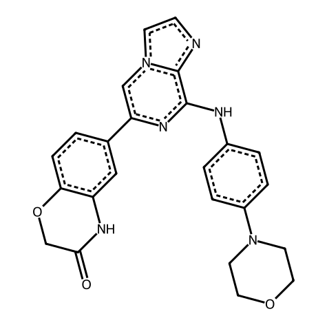 O=C1COc2ccc(-c3cn4ccnc4c(Nc4ccc(N5CCOCC5)cc4)n3)cc2N1